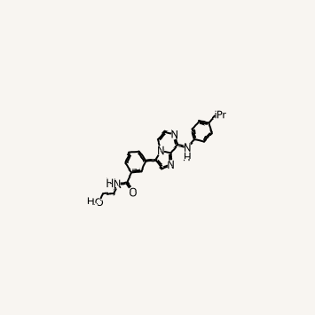 CC(C)c1ccc(Nc2nccn3c(-c4cccc(C(=O)NCCO)c4)cnc23)cc1